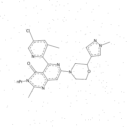 CCCn1c(C)nc2cc(N3CCOC(c4cnn(C)c4)C3)nc(-c3ncc(Cl)cc3C)c2c1=O